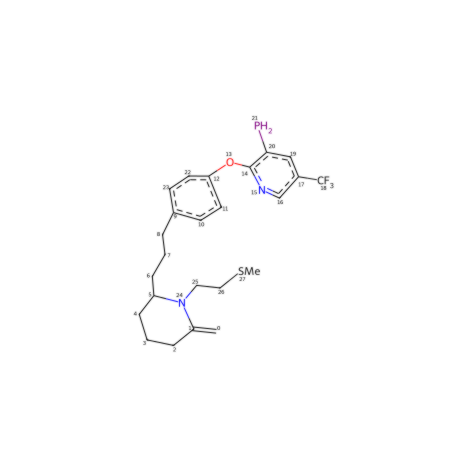 C=C1CCCC(CCCc2ccc(Oc3ncc(C(F)(F)F)cc3P)cc2)N1CCSC